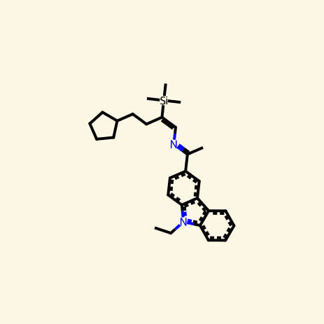 CCn1c2ccccc2c2cc(/C(C)=N/C=C(\CCC3CCCC3)[Si](C)(C)C)ccc21